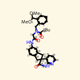 COC(OC)c1ccccc1CN(CC(=O)Nc1ccc2c(c1)CC1(C2)C(=O)Nc2ncccc21)C(=O)C(C)(C)C